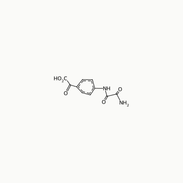 NC(=O)C(=O)Nc1ccc(C(=O)C(=O)O)cc1